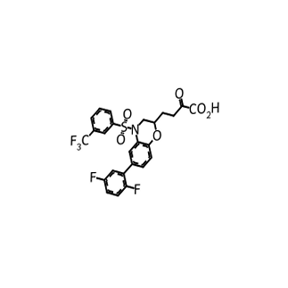 O=C(O)C(=O)CCC1CN(S(=O)(=O)c2cccc(C(F)(F)F)c2)c2cc(-c3cc(F)ccc3F)ccc2O1